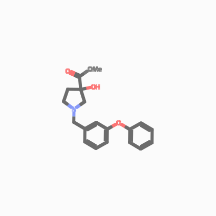 COC(=O)C1(O)CCN(Cc2cccc(Oc3ccccc3)c2)C1